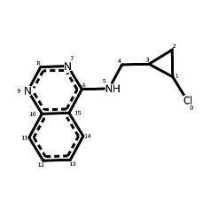 ClC1CC1CNc1ncnc2ccccc12